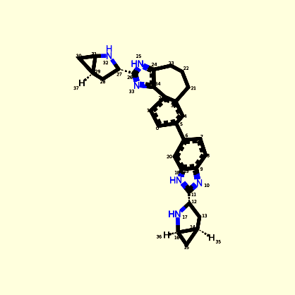 c1cc2c(cc1-c1ccc3nc([C@@H]4C[C@H]5C[C@H]5N4)[nH]c3c1)CCCc1[nH]c([C@@H]3C[C@H]4CC4N3)nc1-2